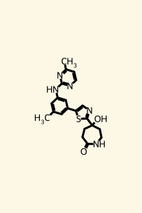 Cc1cc(Nc2nccc(C)n2)cc(-c2cnc(C3(O)CCNC(=O)CC3)s2)c1